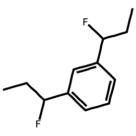 CCC(F)c1cccc(C(F)CC)c1